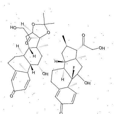 CC1(C)O[C@@H]2C[C@H]3[C@@H]4CCC5=CC(=O)C=C[C@]5(C)[C@H]4[C@@H](O)C[C@]3(C)[C@]2(C(=O)CO)O1.C[C@@H]1C[C@H]2[C@@H]3CCC4=CC(=O)C=C[C@]4(C)[C@@]3(F)C(O)C[C@]2(C)[C@H]1C(=O)CO